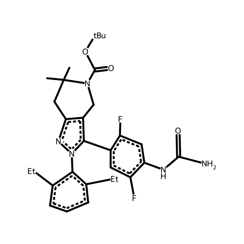 CCc1cccc(CC)c1-n1nc2c(c1-c1cc(F)c(NC(N)=O)cc1F)CN(C(=O)OC(C)(C)C)C(C)(C)C2